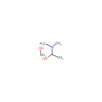 CC(O)N(C)C.O=[N+]([O-])O